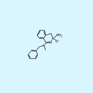 CN(Cc1ccccc1)C1=N[N+](N)([O-])Cc2ccccc21